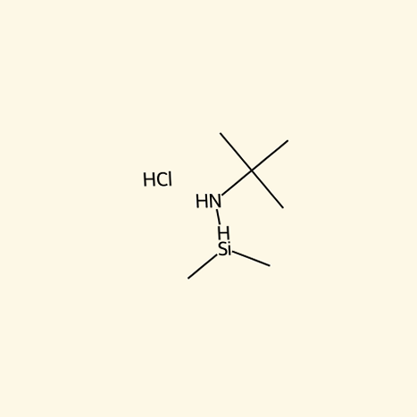 C[SiH](C)NC(C)(C)C.Cl